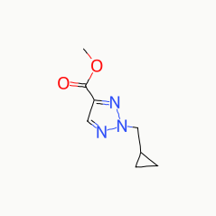 COC(=O)c1cnn(CC2CC2)n1